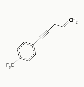 C=CCC#Cc1ccc(C(F)(F)F)cc1